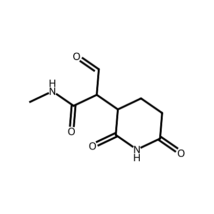 CNC(=O)C(C=O)C1CCC(=O)NC1=O